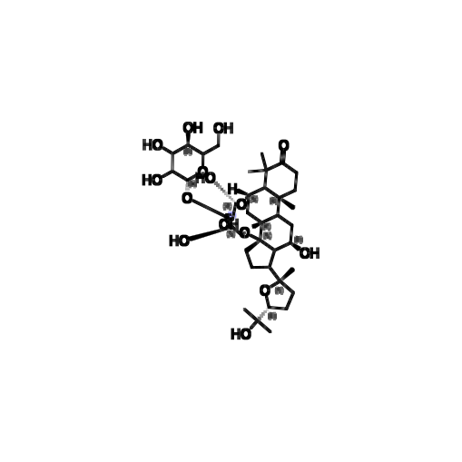 CC1(C)C(=O)CC[C@@]2(C)C1[C@@H]1C[C@]3(C)C2C[C@@H](O)C2C([C@]4(C)CC[C@H](C(C)(C)O)O4)CC[C@]23OCC[C@H](O)/C(O)=C(\O[C@H]2OC(CO)[C@H](O)C(O)C2O)[C@H](O)O1